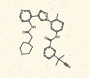 Cc1ccc(NC(=O)c2cccc(C(C)(C)C#N)c2)cc1-n1cc(-c2cnccc2NC(=O)CC2CCOCC2)cn1